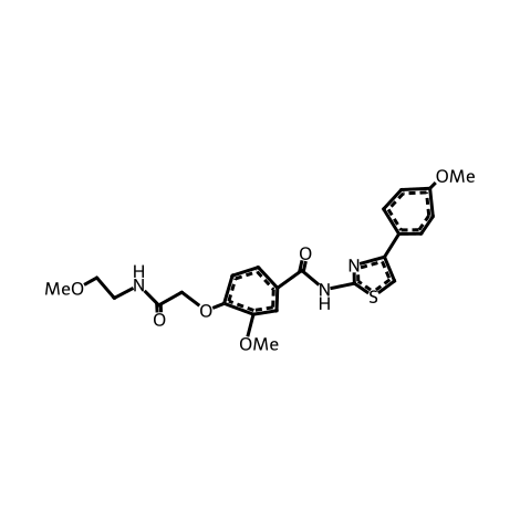 COCCNC(=O)COc1ccc(C(=O)Nc2nc(-c3ccc(OC)cc3)cs2)cc1OC